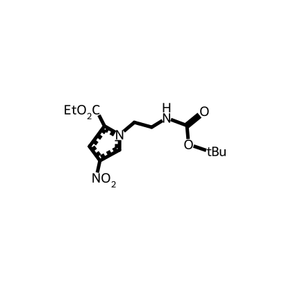 CCOC(=O)c1cc([N+](=O)[O-])cn1CCNC(=O)OC(C)(C)C